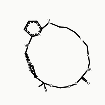 C[C@H]1CCCOC(=O)NCCCCCCCNc2cccc(n2)Nc2ncc1cn2